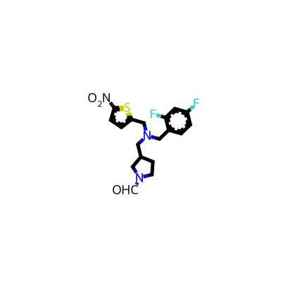 O=CN1CCC(CN(Cc2ccc([N+](=O)[O-])s2)Cc2ccc(F)cc2F)C1